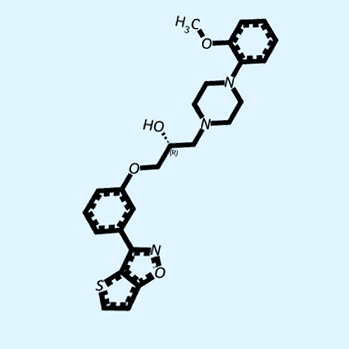 COc1ccccc1N1CCN(C[C@@H](O)COc2cccc(-c3noc4ccsc34)c2)CC1